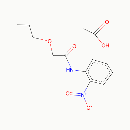 CC(=O)O.CCCOCC(=O)Nc1ccccc1[N+](=O)[O-]